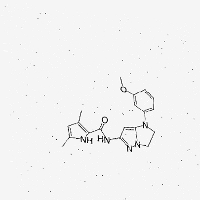 COc1cccc(N2CCn3nc(NC(=O)c4[nH]c(C)cc4C)cc32)c1